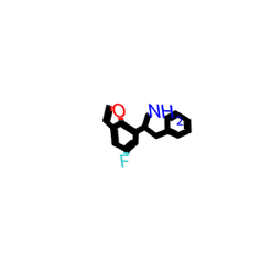 NCC(Cc1ccccc1)c1cc(F)cc2ccoc12